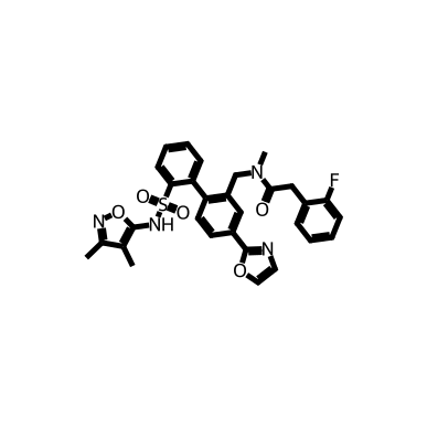 Cc1noc(NS(=O)(=O)c2ccccc2-c2ccc(-c3ncco3)cc2CN(C)C(=O)Cc2ccccc2F)c1C